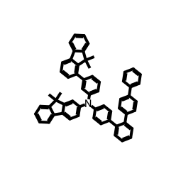 CC1(C)c2ccccc2-c2ccc(N(c3ccc(-c4ccccc4-c4ccc(-c5ccccc5)cc4)cc3)c3cccc(-c4cccc5c4C(C)(C)c4ccccc4-5)c3)cc21